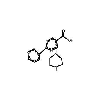 C1CNCCN1.O=C(O)c1cnc(-c2ccccc2)nc1